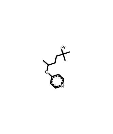 CC(CCC(C)(C)C(C)C)Oc1ccncc1